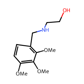 COc1ccc(CNCCO)c(OC)c1OC